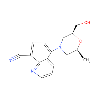 C[C@H]1CN(c2ccc(C#N)c3ncccc23)C[C@@H](CO)O1